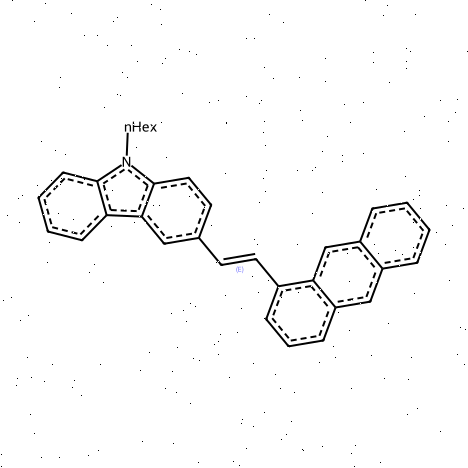 CCCCCCn1c2ccccc2c2cc(/C=C/c3cccc4cc5ccccc5cc34)ccc21